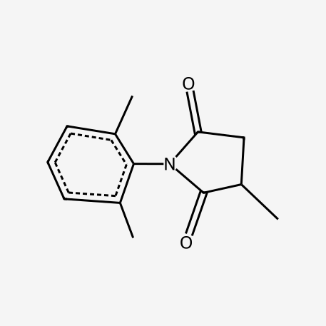 Cc1cccc(C)c1N1C(=O)CC(C)C1=O